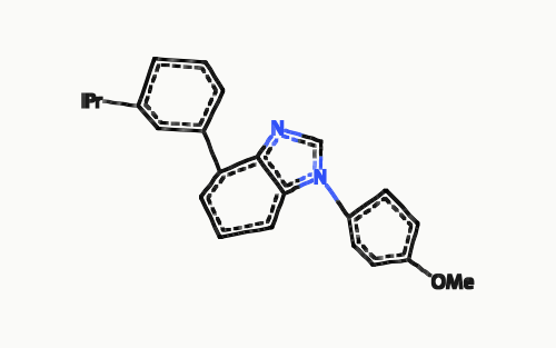 COc1ccc(-n2cnc3c(-c4cccc(C(C)C)c4)cccc32)cc1